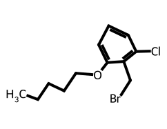 CCCCCOc1cccc(Cl)c1CBr